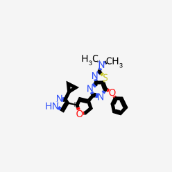 CN(C)c1nc2nc(C3=C[C@H](c4c[nH]nc4C4CC4)OCC3)nc(Oc3ccccc3)c2s1